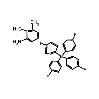 Cc1cccc([NH3+])c1C.Fc1ccc([B-](c2ccc(F)cc2)(c2ccc(F)cc2)c2ccc(F)cc2)cc1